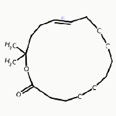 CC1(C)CC/C=C/CCCCCCCCCC(=O)O1